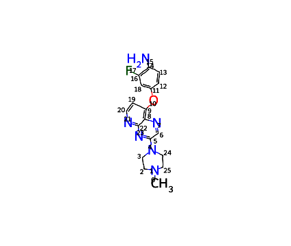 CN1CCN(c2cnc3c(Oc4ccc(N)c(F)c4)ccnc3n2)CC1